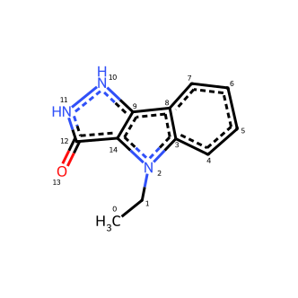 CCn1c2ccccc2c2[nH][nH]c(=O)c21